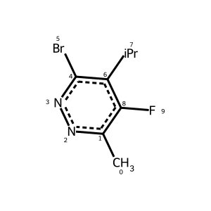 Cc1nnc(Br)c(C(C)C)c1F